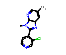 CN1C(c2ccncc2Cl)=NC2C=C(C(F)(F)F)C=NC21